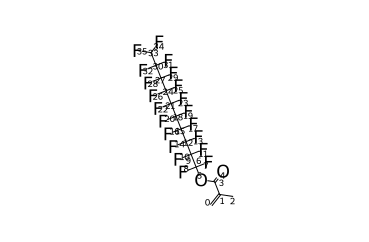 C=C(C)C(=O)OC(F)(F)C(F)(F)C(F)(F)C(F)(F)C(F)(F)C(F)(F)C(F)(F)C(F)(F)C(F)(F)C(F)F